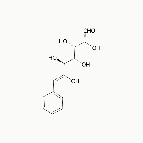 O=C[C@H](O)[C@@H](O)[C@H](O)[C@H](O)C(O)=Cc1ccccc1